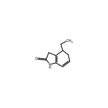 CCC1CC=CC2=C1CC(=O)N2